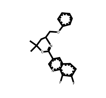 CC1(C)CC(COc2ccccc2)N=C(c2cnc3c(F)c(F)ccc3c2)O1